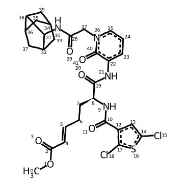 COC(=O)/C=C/CC[C@H](NC(=O)c1cc(Cl)sc1Cl)C(=O)Nc1cccn(CC(=O)NC2C3CC4CC(C3)C2C4)c1=O